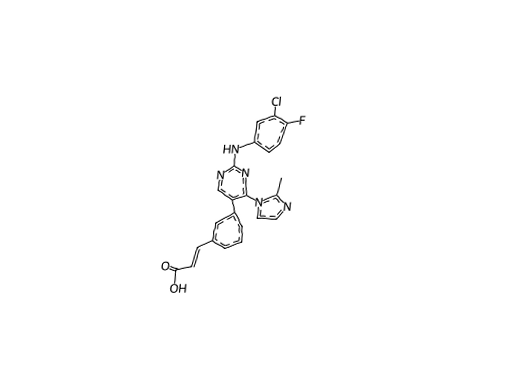 Cc1nccn1-c1nc(Nc2ccc(F)c(Cl)c2)ncc1-c1cccc(/C=C/C(=O)O)c1